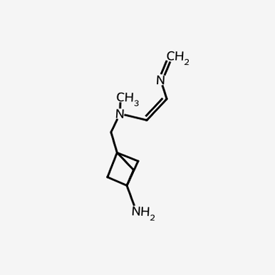 C=N/C=C\N(C)CC12CC(N)(C1)C2